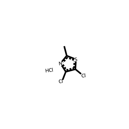 Cc1nc(Cl)c(Cl)s1.Cl